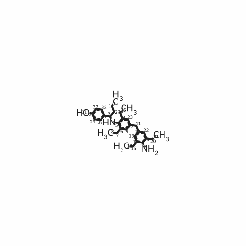 CCCC(Nc1c(CC)cc(Cc2cc(CC)c(N)c(CC)c2)cc1CC)c1ccc(O)cc1